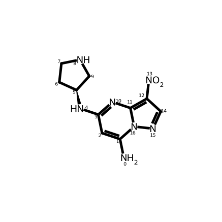 Nc1cc(N[C@H]2CCNC2)nc2c([N+](=O)[O-])cnn12